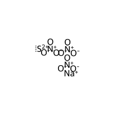 O=[N+]([O-])[O-].O=[N+]([O-])[O-].O=[N+]([O-])[O-].[Na+].[S+2]